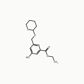 CCOC(=O)c1cc(O)cc(COC2CCCCO2)n1